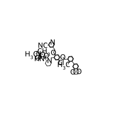 Cc1c(COc2cc(OCc3cncc(C#N)c3)c(CN3CCCC[C@H]3C(=O)NS(=O)(=O)N(C)C)cc2Cl)cccc1-c1ccc2c(c1)OCCO2